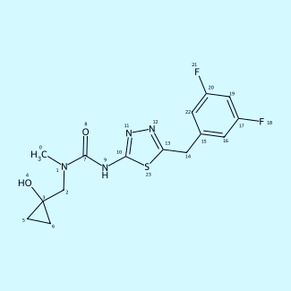 CN(CC1(O)CC1)C(=O)Nc1nnc(Cc2cc(F)cc(F)c2)s1